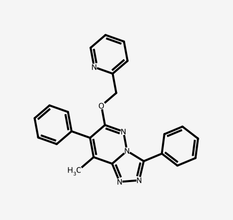 Cc1c(-c2ccccc2)c(OCc2ccccn2)nn2c(-c3ccccc3)nnc12